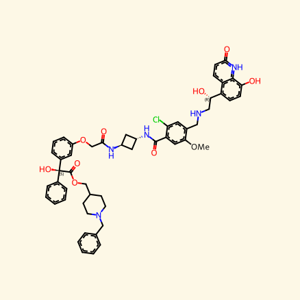 COc1cc(C(=O)N[C@H]2C[C@H](NC(=O)COc3cccc([C@](O)(C(=O)OCC4CCN(Cc5ccccc5)CC4)c4ccccc4)c3)C2)c(Cl)cc1CNC[C@H](O)c1ccc(O)c2[nH]c(=O)ccc12